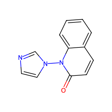 O=c1ccc2ccccc2n1-n1ccnc1